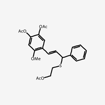 COc1cc(OC(C)=O)c(OC(C)=O)cc1/C=C/C(SCCOC(C)=O)c1ccccc1